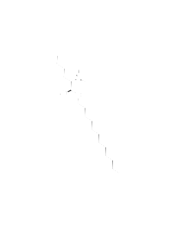 CCCCCCCCCCCCOC(=O)C(CCCC)N(C)C